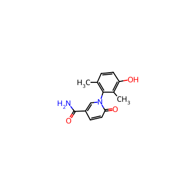 Cc1ccc(O)c(C)c1-n1cc(C(N)=O)ccc1=O